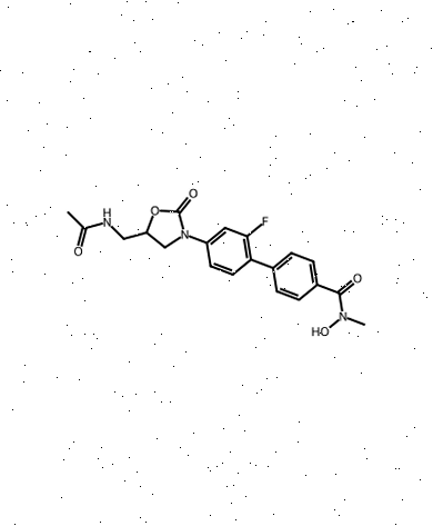 CC(=O)NCC1CN(c2ccc(-c3ccc(C(=O)N(C)O)cc3)c(F)c2)C(=O)O1